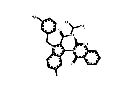 CC(C)NC(=O)c1c(-n2c(=O)[nH]c3ccccc3c2=O)c2cc(I)ccc2n1Cc1cccc(N)c1